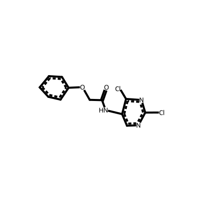 O=C(COc1ccccc1)Nc1cnc(Cl)nc1Cl